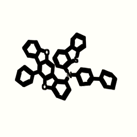 c1ccc(-c2ccc(N(c3cccc4c3sc3ccccc34)c3cccc4oc5c(-c6ccccc6)c6c(cc5c34)oc3ccccc36)cc2)cc1